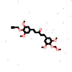 C#CCOc1c(OC)cc(C=CC(=O)C=Cc2cc(OC)c(OCOC)c(OC)c2)cc1OC